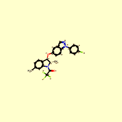 Cc1ccc2c(c1)N(C(=O)C(F)(F)F)[C@@H](C)[C@@H]2Oc1ccc2c(cnn2-c2ccc(F)cc2)c1